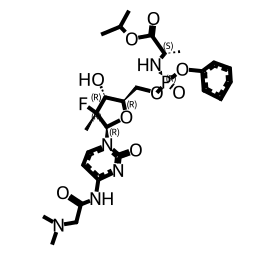 CC(C)OC(=O)[C@H](C)N[P@@](=O)(OC[C@H]1O[C@@H](n2ccc(NC(=O)CN(C)C)nc2=O)[C@](C)(F)[C@@H]1O)Oc1ccccc1